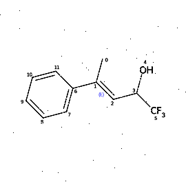 C/C(=C\C(O)C(F)(F)F)c1ccccc1